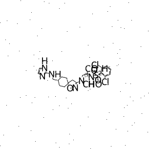 O=CN(C[C@H](NS(=O)(=O)c1c(Cl)cccc1Cl)C(=O)O)C1=NOC2(CCC(CNc3ncc[nH]3)CC2)C1